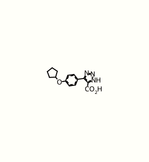 O=C(O)c1[nH]nnc1-c1ccc(OC2CCCC2)cc1